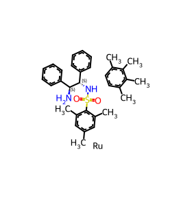 Cc1cc(C)c(S(=O)(=O)N[C@@H](c2ccccc2)[C@@H](N)c2ccccc2)c(C)c1.Cc1ccc(C)c(C)c1C.[Ru]